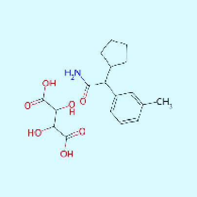 Cc1cccc(C(C(N)=O)C2CCCC2)c1.O=C(O)C(O)C(O)C(=O)O